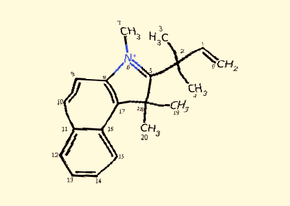 C=CC(C)(C)C1=[N+](C)c2ccc3ccccc3c2C1(C)C